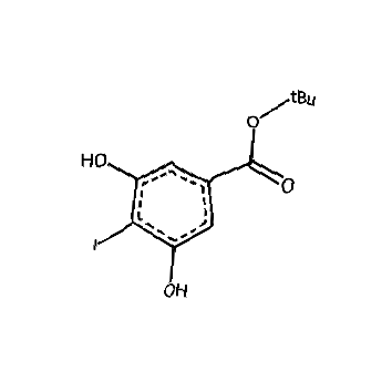 CC(C)(C)OC(=O)c1cc(O)c(I)c(O)c1